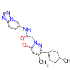 Cc1cc(=O)n(CC(=O)Nc2ccc3ncnn3c2)nc1C1=CCC(C)CC1